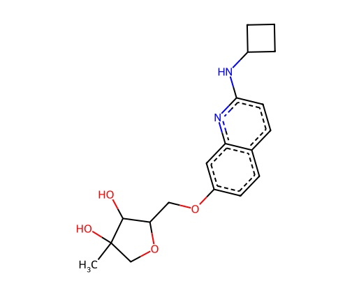 CC1(O)COC(COc2ccc3ccc(NC4CCC4)nc3c2)C1O